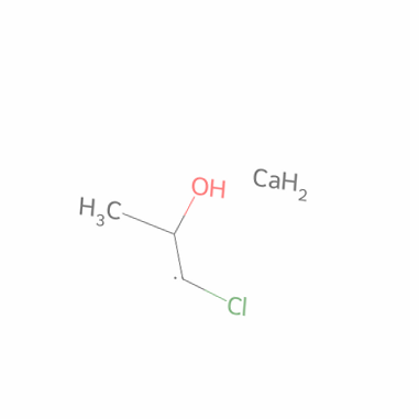 CC(O)[CH]Cl.[CaH2]